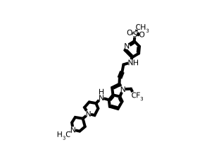 CN1CCC(N2CCC(Nc3cccc4c3cc(C#CCNc3ccc(S(C)(=O)=O)nc3)n4CC(F)(F)F)CC2)CC1